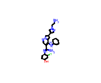 NCCn1cc(-c2cc3c(NC4CCCCC4)c(/C(N)=N/c4ccc(O)cc4Cl)cnn3c2)cn1